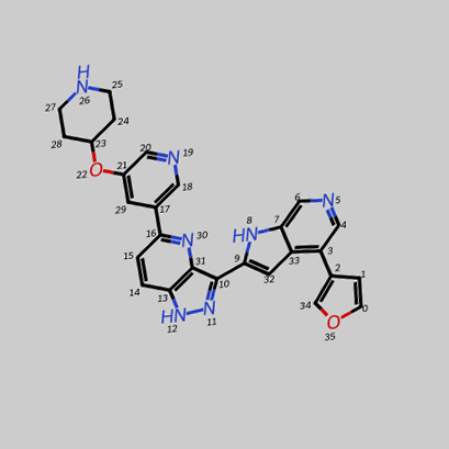 c1cc(-c2cncc3[nH]c(-c4n[nH]c5ccc(-c6cncc(OC7CCNCC7)c6)nc45)cc23)co1